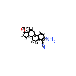 C[C@]12CCC3c4ccc(N)c(C#N)c4CCC3C1CCC2=O